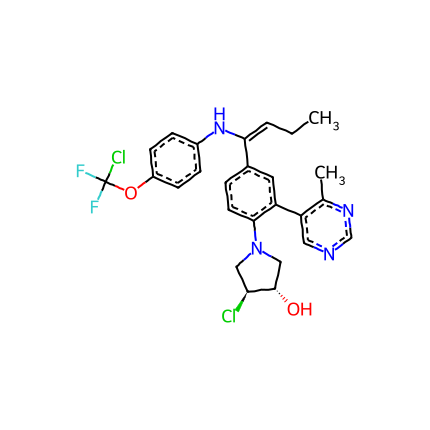 CCC=C(Nc1ccc(OC(F)(F)Cl)cc1)c1ccc(N2C[C@H](O)[C@@H](Cl)C2)c(-c2cncnc2C)c1